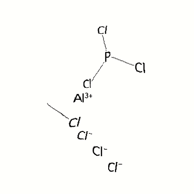 CCl.ClP(Cl)Cl.[Al+3].[Cl-].[Cl-].[Cl-]